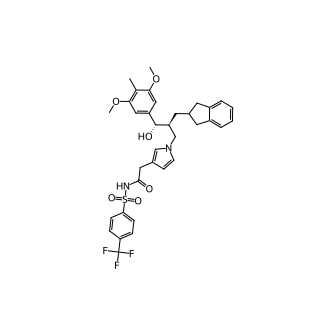 COc1cc([C@@H](O)[C@@H](CC2Cc3ccccc3C2)Cn2ccc(CC(=O)NS(=O)(=O)c3ccc(C(F)(F)F)cc3)c2)cc(OC)c1C